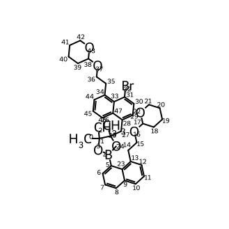 CC1(C)OB(c2cccc3cccc(CCOC4CCCCO4)c23)OC1(C)Cc1ccc(Br)c2c(CCOC3CCCCO3)cccc12